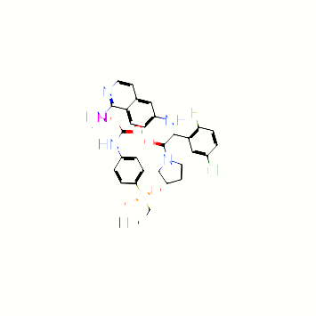 CCS(=O)(=O)c1ccc(NC(=O)O)cc1[C@H]1CCCN1C(=O)[C@H](Nc1ccc2c(N)nccc2c1)c1cc(Cl)ccc1F